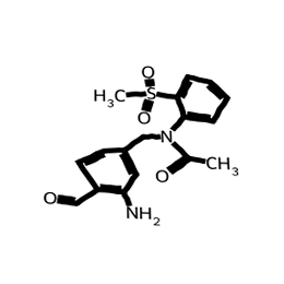 CC(=O)N(Cc1ccc(C=O)c(N)c1)c1ccccc1S(C)(=O)=O